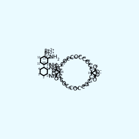 N[C@@H]1CCCC[C@H]1N.N[C@@H]1CCCC[C@H]1N.O=C([O-])C1(C(=O)[O-])CCOCCOCCOCCC(C(=O)[O-])(C(=O)[O-])CCOCCOCCOCC1.[Pt+2].[Pt+2]